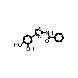 O=C(Nc1nc(-c2ccc(O)c(O)c2)cs1)c1ccccc1